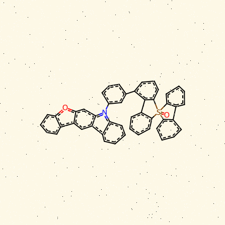 O=S12(c3ccccc3-c3ccccc31)c1ccccc1-c1c(-c3cccc(-n4c5ccccc5c5cc6c(cc54)oc4ccccc46)c3)cccc12